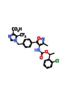 Cc1noc(-c2ccc(Cn3cnc(C(=O)O)c3C(F)(F)F)cc2)c1NC(=O)OC(C)c1ccccc1Cl